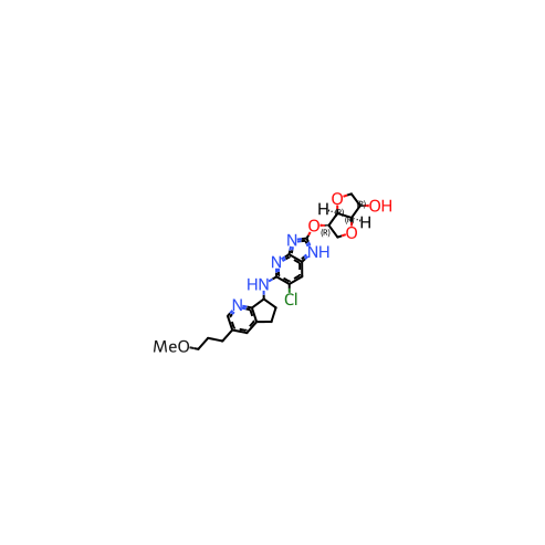 COCCCc1cnc2c(c1)CCC2Nc1nc2nc(O[C@@H]3CO[C@H]4[C@@H]3OC[C@H]4O)[nH]c2cc1Cl